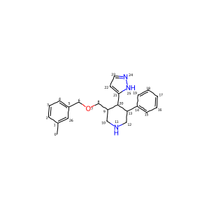 Cc1cccc(COCC2CNCC(c3ccccc3)C2c2ccn[nH]2)c1